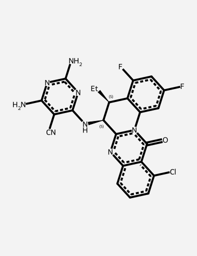 CC[C@H]1c2c(F)cc(F)cc2-n2c(nc3cccc(Cl)c3c2=O)[C@H]1Nc1nc(N)nc(N)c1C#N